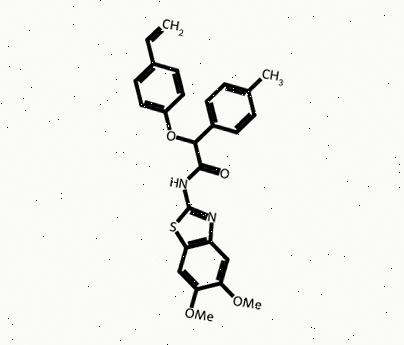 C=Cc1ccc(OC(C(=O)Nc2nc3cc(OC)c(OC)cc3s2)c2ccc(C)cc2)cc1